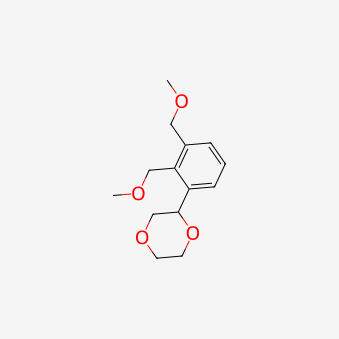 COCc1cccc(C2COCCO2)c1COC